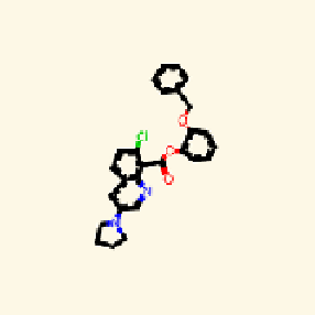 O=C(Oc1ccccc1OCc1ccccc1)c1c(Cl)ccc2cc(N3CCCC3)cnc12